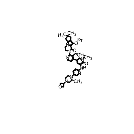 CC(C)Oc1c2c(n3c1C(=O)N(c1nccc(-c4cc(Nc5ccc(N6CCN(C7COC7)C[C@@H]6C)cn5)c(=O)n(C)c4)c1CO)CC3)CC(C)(C)C2